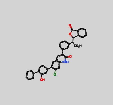 O=C1OC(C(C(=O)O)c2cccc(-c3cc4cc(-c5ccc(-c6ccccc6)c(O)c5)c(Cl)cc4[nH]c3=O)c2)c2ccccc21